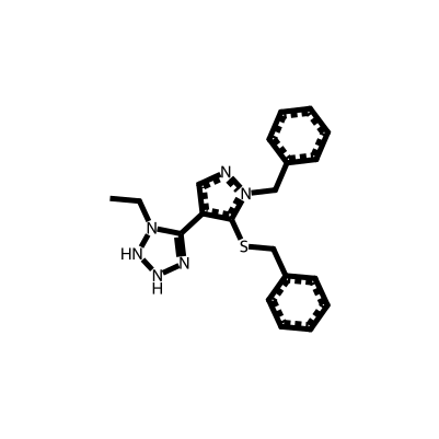 CCN1NNN=C1c1cnn(Cc2ccccc2)c1SCc1ccccc1